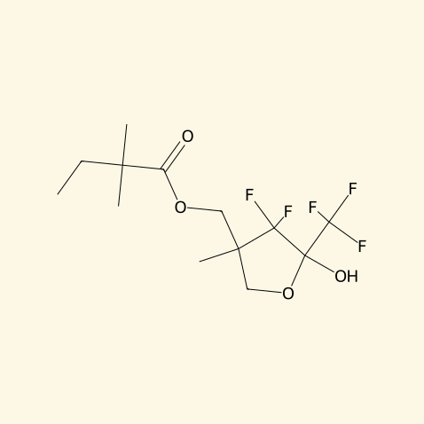 CCC(C)(C)C(=O)OCC1(C)COC(O)(C(F)(F)F)C1(F)F